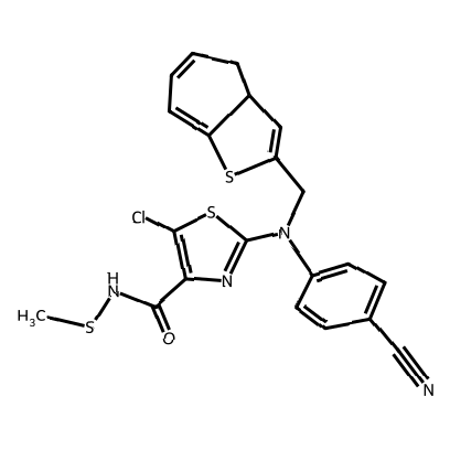 CSNC(=O)c1nc(N(CC2=CC3CC=CC=C3S2)c2ccc(C#N)cc2)sc1Cl